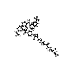 CC(C)N(C)[C@@H]1CC[C@H](N2CC[C@H](Nc3ncnc4ccc(C(F)(F)F)cc34)C2=O)[C@H](NC(=O)[C@H]2CC[C@@H](NC(=O)CCOCCNC(=O)CCNC(=O)OC(C)(C)C)CC2)C1